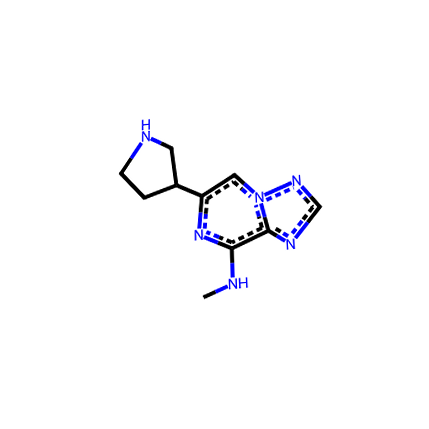 CNc1nc(C2CCNC2)cn2ncnc12